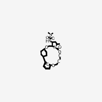 CC1CC(NS(=O)(=O)N(C)C)C2COC3CCC(CC3)c3cccc(c3)OCCCCOC(=O)N12